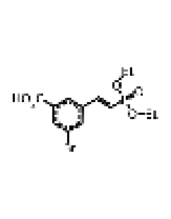 CCOP(=O)(/C=C/c1cc(Br)cc(C(=O)O)c1)OCC